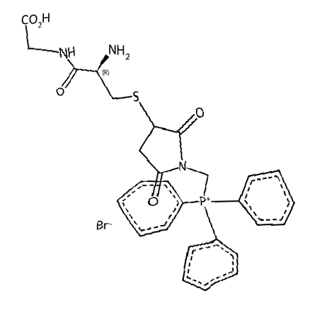 N[C@@H](CSC1CC(=O)N(C[P+](c2ccccc2)(c2ccccc2)c2ccccc2)C1=O)C(=O)NCC(=O)O.[Br-]